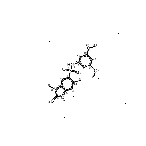 COc1cc(NS(=O)(=O)c2cc3c(cc2C)oc(=O)n3C)cc(OC)c1